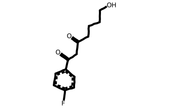 O=C(CCCCO)CC(=O)c1ccc(F)cc1